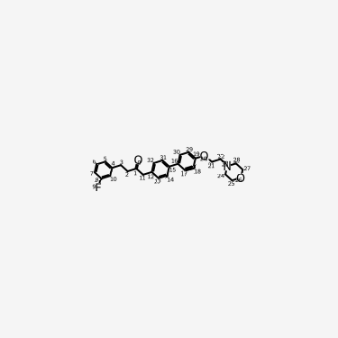 O=C(CCc1cccc(F)c1)Cc1ccc(-c2ccc(OCCN3CCOCC3)cc2)cc1